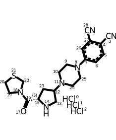 Cl.Cl.Cl.N#Cc1ccc(N2CCN(C3CN[C@H](C(=O)N4CCSC4)C3)CC2)cc1C#N